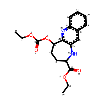 CCOC(=O)OC1CCC(C(=O)OCC)Nc2cc3ccccc3nc21